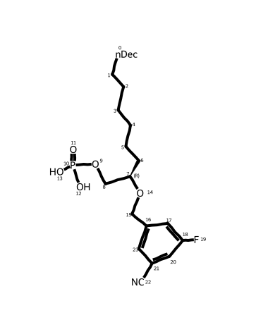 CCCCCCCCCCCCCCCC[C@H](COP(=O)(O)O)OCc1cc(F)cc(C#N)c1